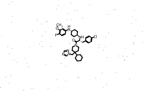 COc1cc(N[C@H]2CC[C@H](N[C@H](Cc3ccc(Cl)cc3)C(=O)N3CCC(Cn4cncn4)(C4CCCCC4)CC3)CC2)ccc1F